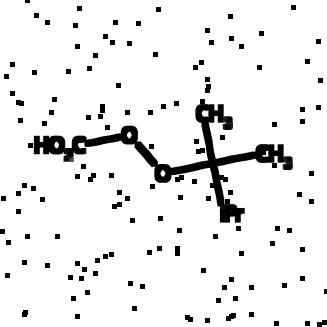 CC(C)C(C)(C)OOC(=O)O